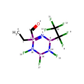 CCP1(C=O)=NP(C(F)(F)C(F)(F)F)N(F)P(F)N1F